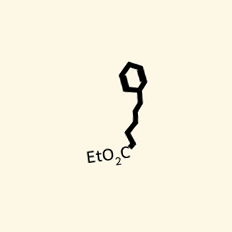 CCOC(=O)CCCCCC1C=CCC=C1